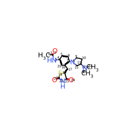 CC(=O)Nc1ccc(N2CCC(N(C)C)C2)c(/C=C2\SC(=O)NC2=O)c1